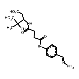 CC(C)(C(=O)O)C(CC(=O)O)NC(=O)CCC(=O)Nc1ccc(C=NN)cc1